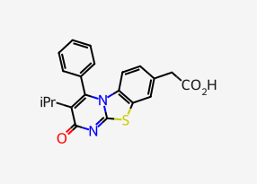 CC(C)c1c(-c2ccccc2)n2c(nc1=O)sc1cc(CC(=O)O)ccc12